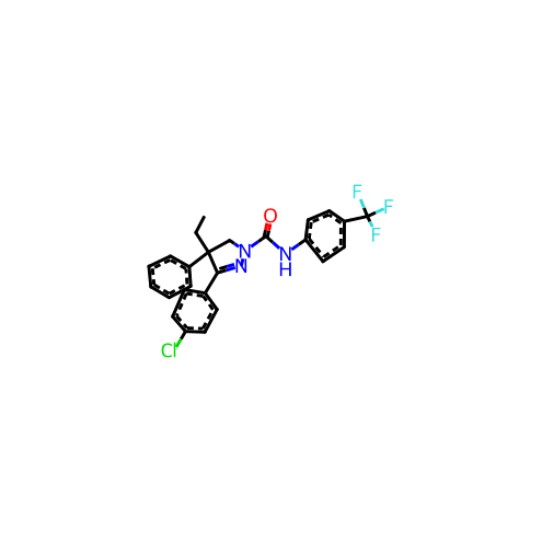 CCC1(c2ccccc2)CN(C(=O)Nc2ccc(C(F)(F)F)cc2)N=C1c1ccc(Cl)cc1